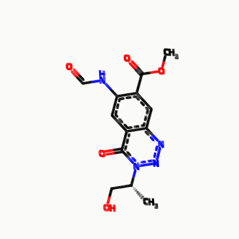 COC(=O)c1cc2nnn([C@H](C)CO)c(=O)c2cc1NC=O